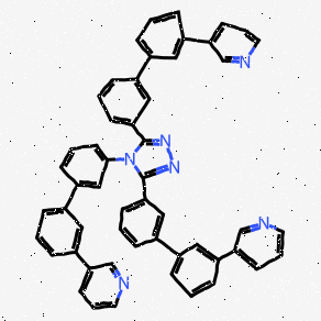 c1cncc(-c2cccc(-c3cccc(-c4nnc(-c5cccc(-c6cccc(-c7cccnc7)c6)c5)n4-c4cccc(-c5cccc(-c6cccnc6)c5)c4)c3)c2)c1